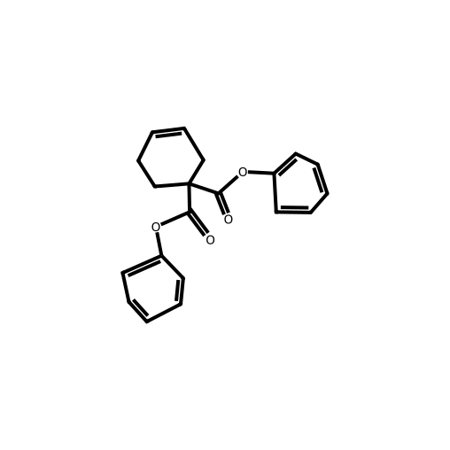 O=C(Oc1ccccc1)C1(C(=O)Oc2ccccc2)CC=CCC1